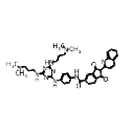 CN(C)CCCNc1nc(NCCCN(C)C)nc(Nc2ccc(NC(=O)c3ccc4c(c3)C(=O)C(c3ccc5ccccc5n3)C4=O)cc2)n1